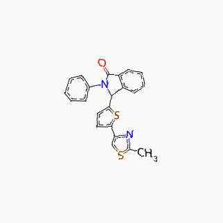 Cc1nc(-c2ccc(C3c4ccccc4C(=O)N3c3ccccc3)s2)cs1